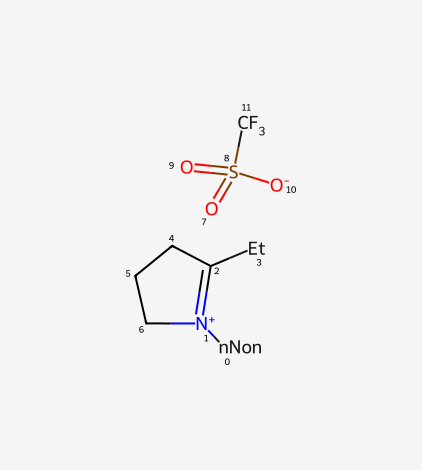 CCCCCCCCC[N+]1=C(CC)CCC1.O=S(=O)([O-])C(F)(F)F